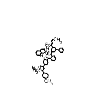 C=C(/C=C(\CN)C1=CCC(/C(C)=C2\C=CC=CC2C(CNC2C=CC3C=CC=CC3C2)C2=CC(C3C=CC=CC3)CC(/C(=C/C=C\C)CC)C2)CC1)C1CC=C(C)CCC1